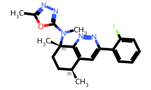 Cc1nnc(N(C)[C@@]2(C)CC[C@H](C)c3cc(-c4ccccc4F)nnc32)o1